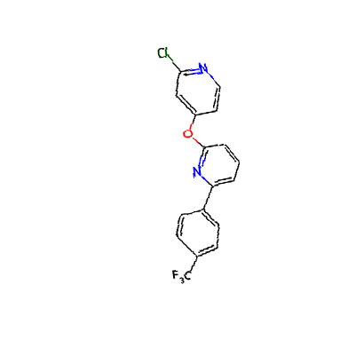 FC(F)(F)c1ccc(-c2cccc(Oc3ccnc(Cl)c3)n2)cc1